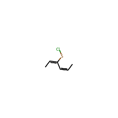 C/C=C\C(=C/C)SCl